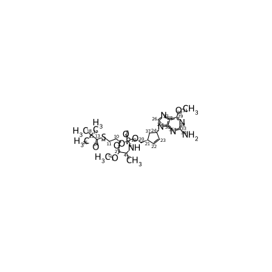 COC(=O)[C@H](C)NP(=O)(OCCSC(=O)C(C)(C)C)OC[C@@H]1C=C[C@H](n2cnc3c(OC)nc(N)nc32)C1